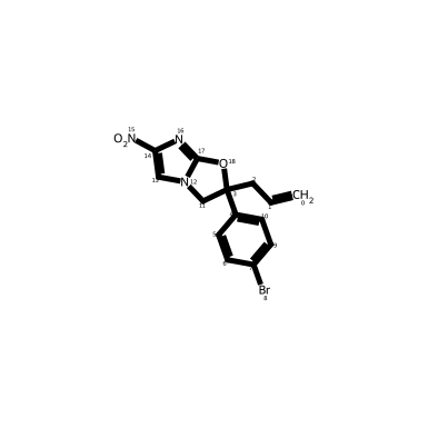 C=CCC1(c2ccc(Br)cc2)Cn2cc([N+](=O)[O-])nc2O1